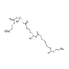 CCCCCCCCCCCCSC(=S)SCCCCC(=O)OC(C#N)CCCOC(=O)CCC(C)(C#N)SC(=S)SCCCCCCCCCCCC